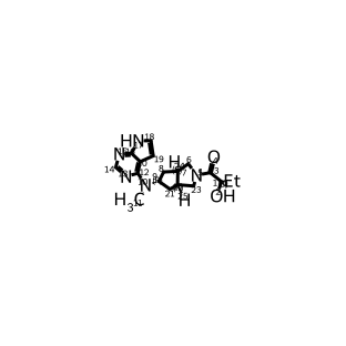 CC[C@H](O)C(=O)N1C[C@H]2C[C@@H](N(C)c3ncnc4[nH]ccc34)C[C@H]2C1